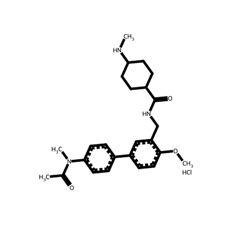 CNC1CCC(C(=O)NCc2cc(-c3ccc(N(C)C(C)=O)cc3)ccc2OC)CC1.Cl